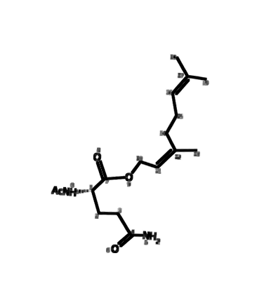 CC(=O)N[C@@H](CCC(N)=O)C(=O)OCC=C(C)CCC=C(C)C